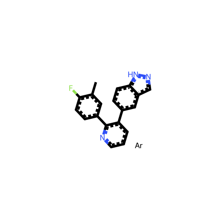 Cc1cc(-c2ncccc2-c2ccc3[nH]ncc3c2)ccc1F.[Ar]